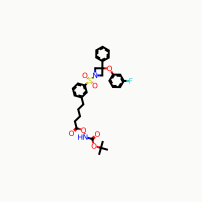 CC(C)(C)OC(=O)NOC(=O)CCCCc1cccc(S(=O)(=O)N2CC(Oc3cccc(F)c3)(c3ccccc3)C2)c1